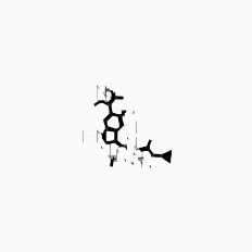 COc1cc2c(cc1-c1c(C)noc1C)[nH]c1nc(C)nc(Nc3c(C)c(C4CC4)nn3C)c12